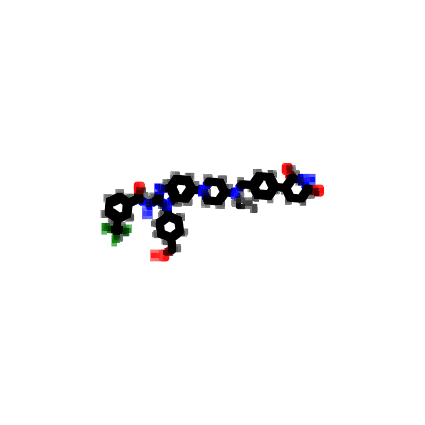 CN(Cc1ccc(C2CCC(=O)NC2=O)cc1)C1CCN(c2ccc3nc(NC(=O)c4cccc(C(F)(F)F)c4)n(C4CCC(CO)CC4)c3c2)CC1